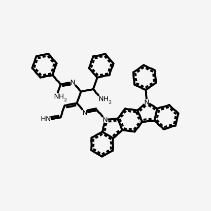 N=C/C=C(\N=C\n1c2ccccc2c2cc3c4ccccc4n(-c4ccccc4)c3cc21)C(/N=C(\N)c1ccccc1)C(N)c1ccccc1